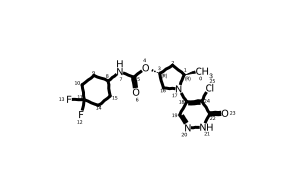 C[C@@H]1C[C@@H](OC(=O)NC2CCC(F)(F)CC2)CN1c1cn[nH]c(=O)c1Cl